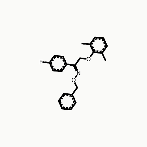 Cc1cccc(C)c1OCC(=NOCc1ccccc1)c1ccc(F)cc1